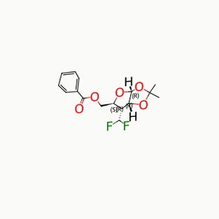 CC1(C)O[C@H]2O[C@H](COC(=O)c3ccccc3)[C@@H](C(F)F)[C@H]2O1